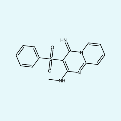 CNc1nc2ccccn2c(=N)c1S(=O)(=O)c1ccccc1